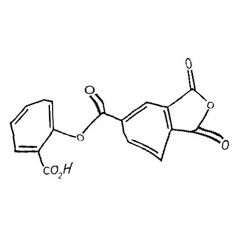 O=C(Oc1ccccc1C(=O)O)c1ccc2c(c1)C(=O)OC2=O